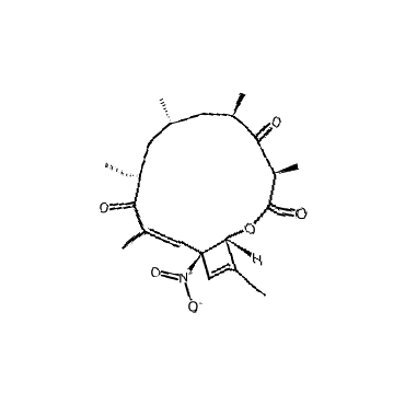 CC1=C[C@]2([N+](=O)[O-])/C=C(\C)C(=O)[C@H](C)C[C@H](C)C[C@@H](C)C(=O)[C@@H](C)C(=O)O[C@H]12